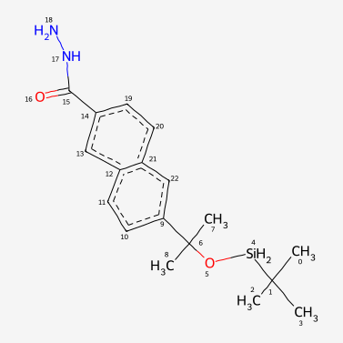 CC(C)(C)[SiH2]OC(C)(C)c1ccc2cc(C(=O)NN)ccc2c1